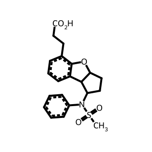 CS(=O)(=O)N(c1ccccc1)C1CCC2Oc3c(CCC(=O)O)cccc3C21